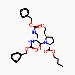 CCCCOC(=O)[C@@H]1CC[C@H](CCO)N1C(=O)[C@H](CNC(=O)OCc1ccccc1)NC(=O)OCc1ccccc1